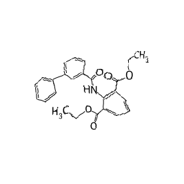 CCOC(=O)c1cccc(C(=O)OCC)c1NC(=O)c1cccc(-c2ccccc2)c1